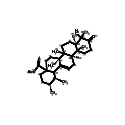 COC(=O)C12CC[C@@H](C)[C@H](C)C1C1=CC[C@@H]3[C@@]4(C)CCC(=O)C(C)(C)[C@@H]4CC[C@@]3(C)[C@]1(C)CC2